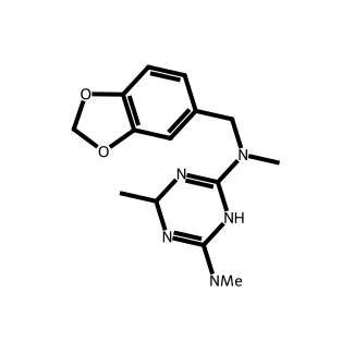 CNC1=NC(C)N=C(N(C)Cc2ccc3c(c2)OCO3)N1